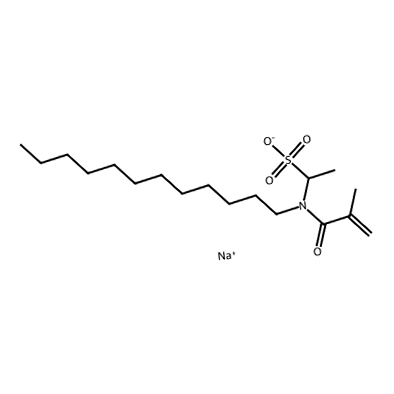 C=C(C)C(=O)N(CCCCCCCCCCCC)C(C)S(=O)(=O)[O-].[Na+]